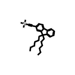 CCCCCCC1(CCCCCC)c2ccccc2-c2ccc(C#C[Si](C)(C)C)cc21